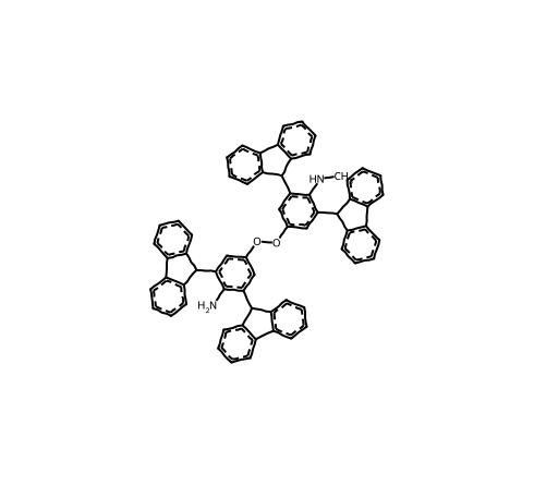 CNc1c(C2c3ccccc3-c3ccccc32)cc(OOc2cc(C3c4ccccc4-c4ccccc43)c(N)c(C3c4ccccc4-c4ccccc43)c2)cc1C1c2ccccc2-c2ccccc21